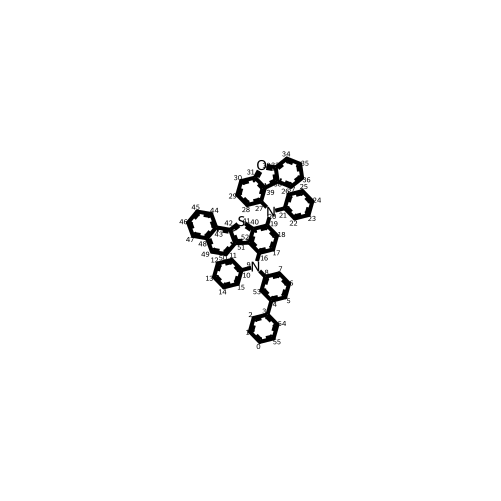 c1ccc(-c2cccc(N(c3ccccc3)c3ccc(N(c4ccccc4)c4cccc5oc6ccccc6c45)c4sc5c6ccccc6ccc5c34)c2)cc1